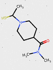 CC(S)N1CCC(C(=O)N(C)C)CC1